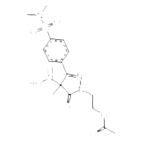 CC(=O)OCCN1N=C(c2ccc(S(=O)(=O)N(C)C)cc2)C(C)(NO)C1=O